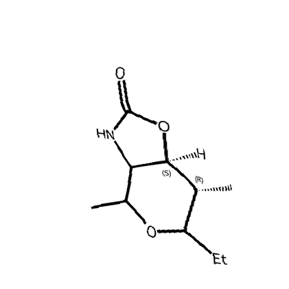 CCC1OC(C)C2NC(=O)O[C@H]2[C@@H]1C